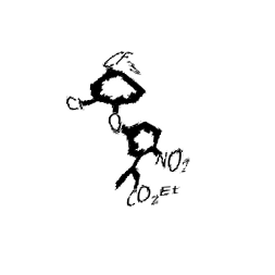 C=C(CC(=O)OCC)c1cc(Oc2ccc(C(F)(F)F)cc2Cl)ccc1[N+](=O)[O-]